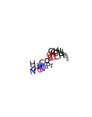 CC(C)C(C)(c1ccc(B2OC(C)(C)C(C)(C)O2)cc1)c1noc(-c2cccnc2)n1